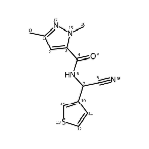 Cc1cc(C(=O)NC(C#N)c2ccsc2)n(C)n1